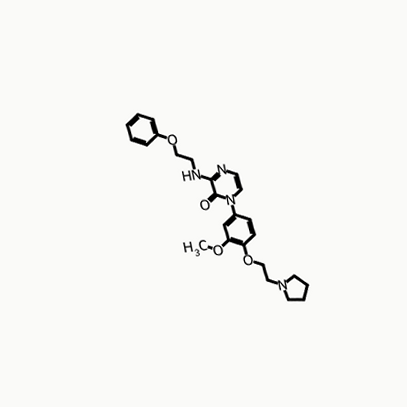 COc1cc(-n2ccnc(NCCOc3ccccc3)c2=O)ccc1OCCN1CCCC1